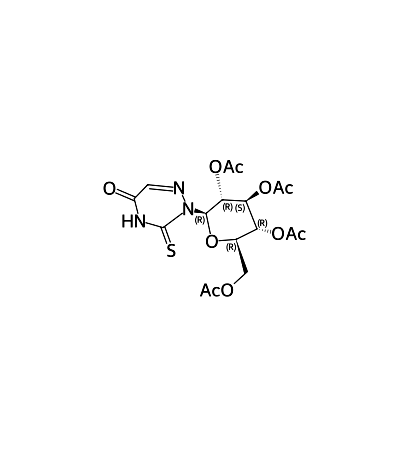 CC(=O)OC[C@H]1O[C@@H](n2ncc(=O)[nH]c2=S)[C@H](OC(C)=O)[C@@H](OC(C)=O)[C@@H]1OC(C)=O